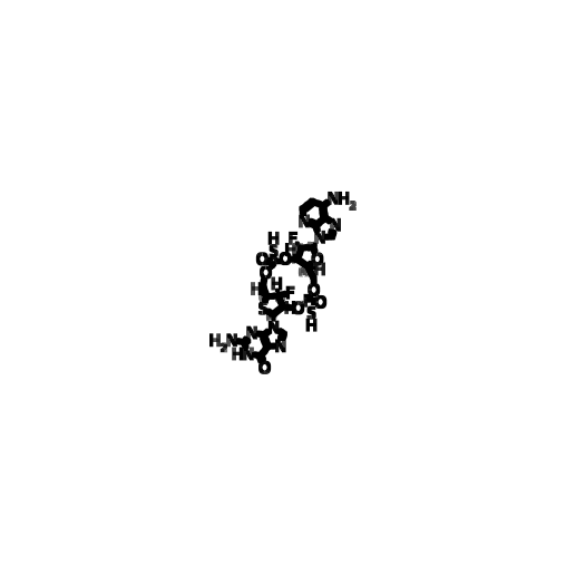 Nc1nc2c(ncn2[C@@H]2S[C@@H]3COP(=O)(S)O[C@H]4[C@H](F)[C@H](n5cnc6c(N)ccnc65)O[C@@H]4COP(=O)(S)O[C@@H]2[C@H]3F)c(=O)[nH]1